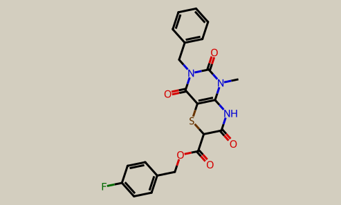 Cn1c2c(c(=O)n(Cc3ccccc3)c1=O)SC(C(=O)OCc1ccc(F)cc1)C(=O)N2